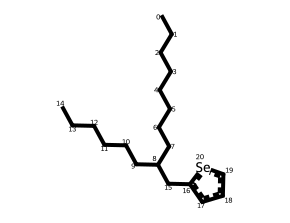 CCCCCCCCC(CCCCCC)Cc1ccc[se]1